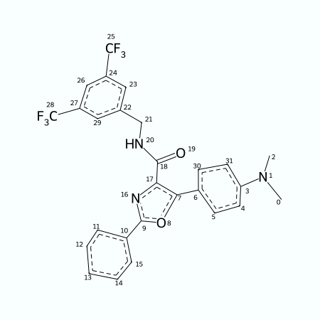 CN(C)c1ccc(-c2oc(-c3ccccc3)nc2C(=O)NCc2cc(C(F)(F)F)cc(C(F)(F)F)c2)cc1